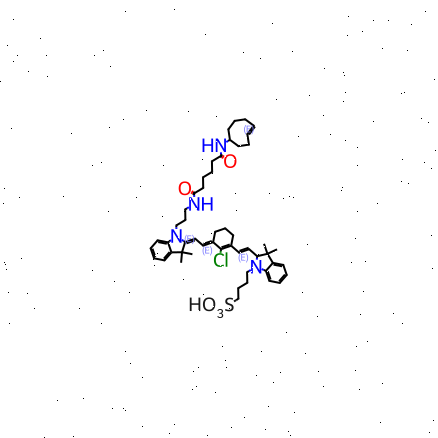 CC1(C)/C(=C\C=C2/CCCC(/C=C/C3N(CCCCS(=O)(=O)O)c4ccccc4C3(C)C)=C2Cl)N(CCCNC(=O)CCCCC(=O)NC2CC/C=C/CCC2)c2ccccc21